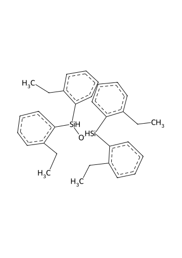 CCc1ccccc1[SiH](O[SiH](c1ccccc1CC)c1ccccc1CC)c1ccccc1CC